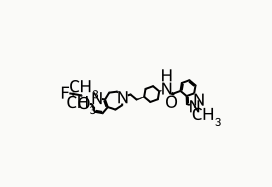 Cn1cc2c(C(=O)N[C@H]3CC[C@H](CCN4CCc5ccc(OCC(C)(C)F)nc5CC4)CC3)cccc2n1